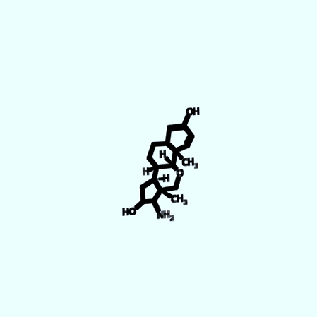 C[C@]12C=CC(O)=CC1CC[C@@H]1[C@H]2OC[C@]2(C)C(N)C(O)C[C@@H]12